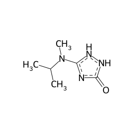 CC(C)N(C)c1nc(=O)[nH][nH]1